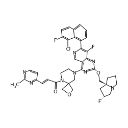 Cc1nccc(/C=C/C(=O)N2CCN(c3nc(OC[C@@]45CCCN4C[C@H](F)C5)nc4c(F)c(-c5cccc6ccc(F)c(Cl)c56)ncc34)CC23COC3)n1